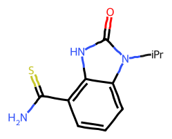 CC(C)n1c(=O)[nH]c2c(C(N)=S)cccc21